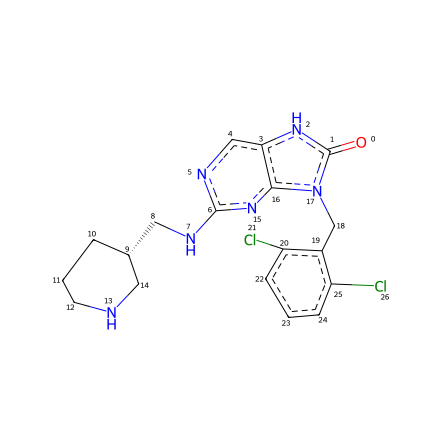 O=c1[nH]c2cnc(NC[C@H]3CCCNC3)nc2n1Cc1c(Cl)cccc1Cl